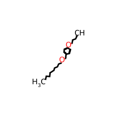 C#CCCCOc1ccc(COCCCCCCCCCC)cc1